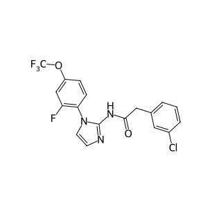 O=C(Cc1cccc(Cl)c1)Nc1nccn1-c1ccc(OC(F)(F)F)cc1F